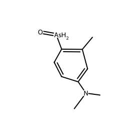 Cc1cc(N(C)C)ccc1[AsH2]=O